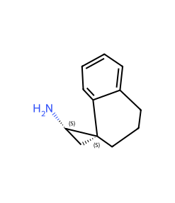 N[C@H]1C[C@]12CCCc1ccccc12